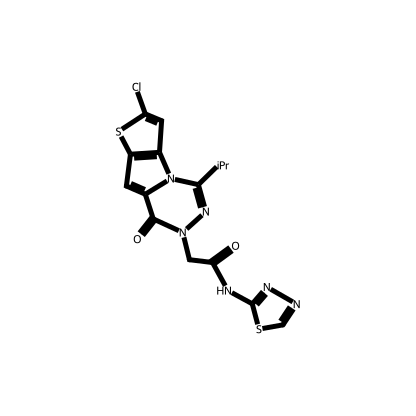 CC(C)c1nn(CC(=O)Nc2nncs2)c(=O)c2cc3sc(Cl)cc3n12